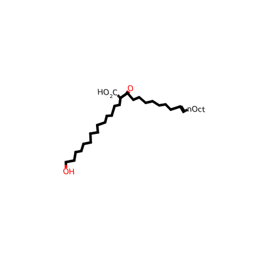 CCCCCCCCC=CCCCCCCCC(=O)C(CCCCCCCCCCCCCCO)C(=O)O